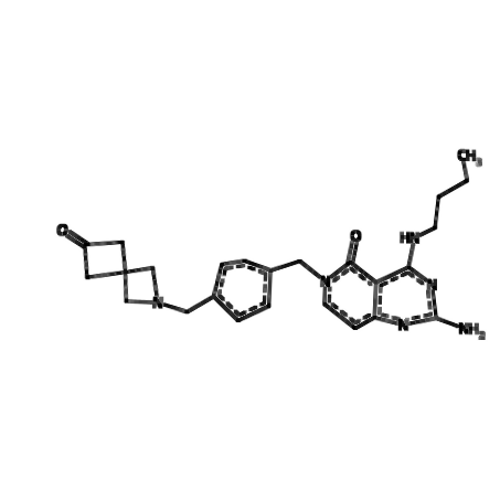 CCCCNc1nc(N)nc2ccn(Cc3ccc(CN4CC5(CC(=O)C5)C4)cc3)c(=O)c12